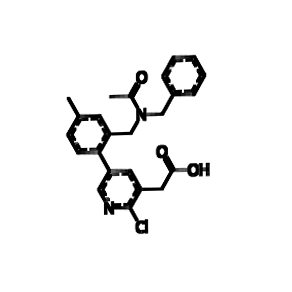 CC(=O)N(Cc1ccccc1)Cc1cc(C)ccc1-c1cnc(Cl)c(CC(=O)O)c1